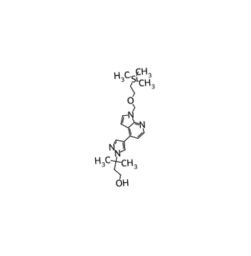 CC(C)(CCO)n1cc(-c2ccnc3c2ccn3COCC[Si](C)(C)C)cn1